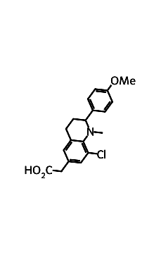 COc1ccc(C2CCc3cc(CC(=O)O)cc(Cl)c3N2C)cc1